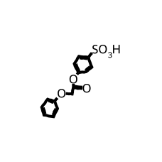 O=C(COc1ccccc1)Oc1ccc(S(=O)(=O)O)cc1